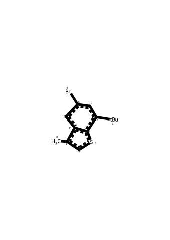 Cc1csc2c(C(C)(C)C)cc(Br)cc12